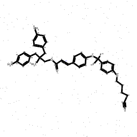 [CH2]C(COC(=O)/C=C/c1ccc(OC(F)(F)c2ccc(OCCCCC#N)cc2)cc1)(Cc1ccc(N)cc1)Cc1ccc(N)cc1